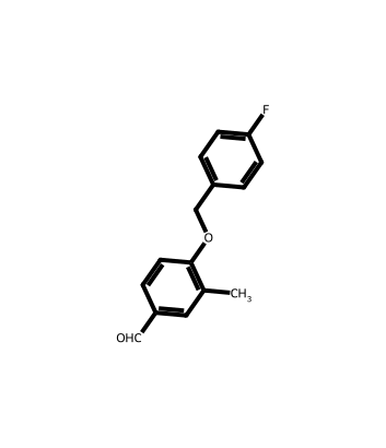 Cc1cc(C=O)ccc1OCc1ccc(F)cc1